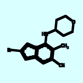 Cc1c(C#N)cc2cc(Br)cn2c1NC1CCOCC1